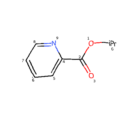 CC(C)OC(=O)c1c[c]ccn1